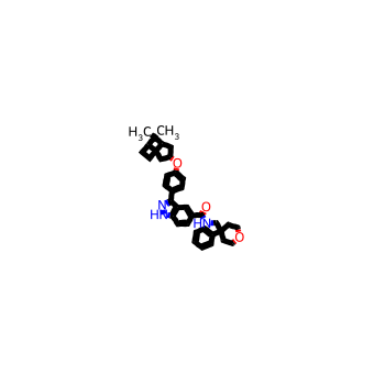 CC1(C)C2CCC23CC(Oc2ccc(-c4n[nH]c5ccc(C(=O)NCC6(c7ccccc7)CCOCC6)cc45)cc2)CC13